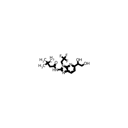 CC(C)(C)CC(=O)Nc1nc2ccc(C(O)CO)nc2n1CC(F)(F)F